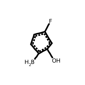 Bc1ccc(F)cc1O